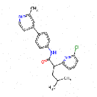 Cc1cc(-c2ccc(NC(=O)C(CC(C)C)c3cccc(Cl)n3)cc2)ccn1